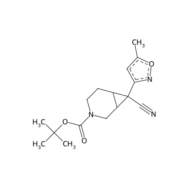 Cc1cc(C2(C#N)C3CCN(C(=O)OC(C)(C)C)CC32)no1